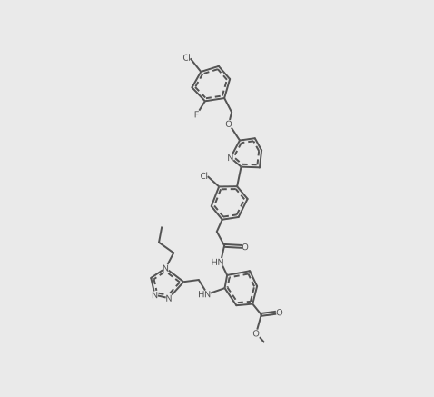 CCCn1cnnc1CNc1cc(C(=O)OC)ccc1NC(=O)Cc1ccc(-c2cccc(OCc3ccc(Cl)cc3F)n2)c(Cl)c1